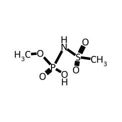 COP(=O)(O)NS(C)(=O)=O